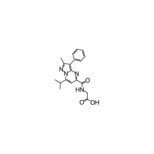 Cc1nn2c(C(C)C)cc(C(=O)NCC(=O)O)nc2c1-c1ccccc1